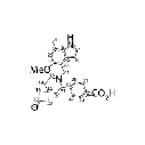 COc1cc(C)c2[nH]ccc2c1CN1CCC2(CC(=O)C2)CC1c1ccc(C(=O)O)cc1